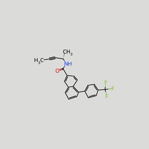 CC#C[C@H](C)NC(=O)c1ccc2c(-c3ccc(C(F)(F)F)cc3)cccc2c1